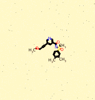 COCC#Cc1cncc(C(=O)N=S(C)(=O)c2ccc(C)c(C)c2)c1